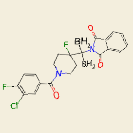 BC(B)(N1C(=O)c2ccccc2C1=O)C1(F)CCN(C(=O)c2ccc(F)c(Cl)c2)CC1